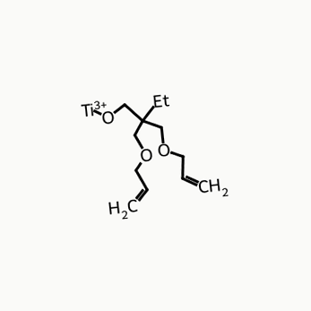 C=CCOCC(CC)(C[O][Ti+3])COCC=C